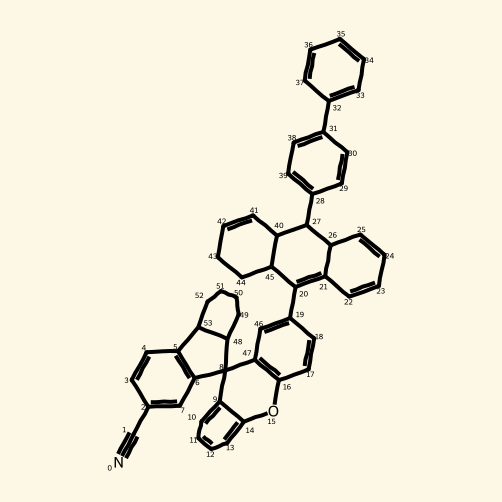 N#Cc1ccc2c(c1)C1(c3ccccc3Oc3ccc(C4=C5C=CC=CC5C(c5ccc(-c6ccccc6)cc5)C5C=CCCC45)cc31)C1CCCCC21